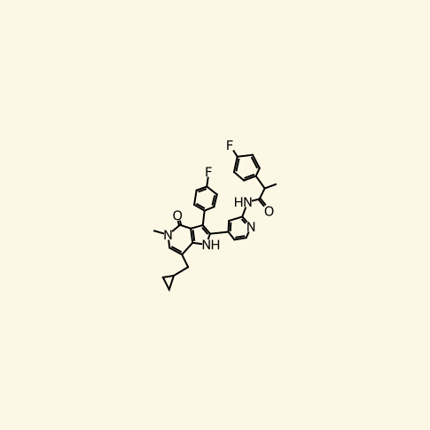 CC(C(=O)Nc1cc(-c2[nH]c3c(CC4CC4)cn(C)c(=O)c3c2-c2ccc(F)cc2)ccn1)c1ccc(F)cc1